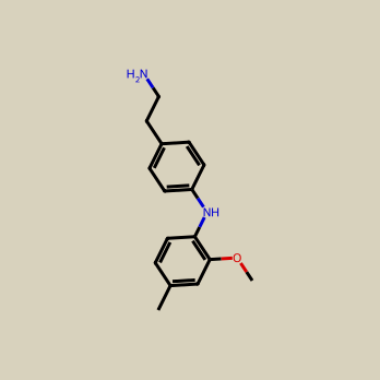 COc1cc(C)ccc1Nc1ccc(CCN)cc1